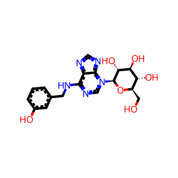 OC[C@H]1O[C@@H](n2cnc(NCc3cccc(O)c3)c3ncnc2-3)[C@H](O)[C@@H](O)[C@@H]1O